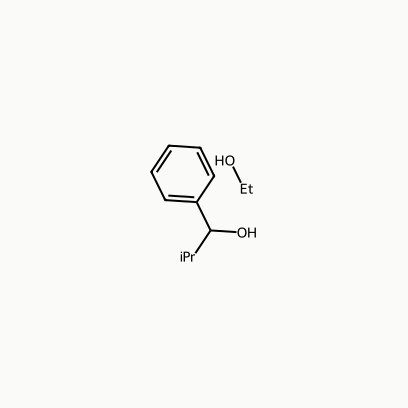 CC(C)C(O)c1ccccc1.CCO